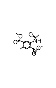 COC(=O)c1cc(NC(C)=O)c([N+](=O)[O-])cc1C